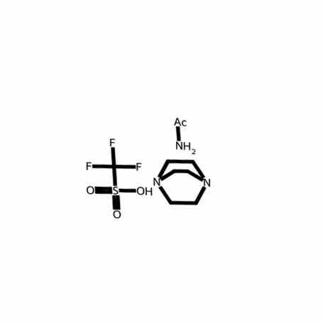 C1CN2CCN1CC2.CC(N)=O.O=S(=O)(O)C(F)(F)F